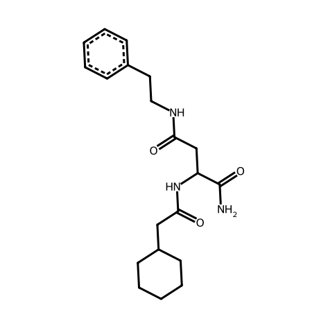 NC(=O)C(CC(=O)NCCc1ccccc1)NC(=O)CC1CCCCC1